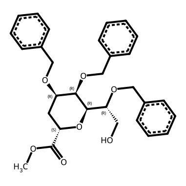 COC(=O)[C@@H]1C[C@@H](OCc2ccccc2)[C@@H](OCc2ccccc2)[C@@H]([C@@H](CO)OCc2ccccc2)O1